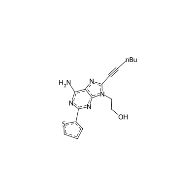 CCCCC#Cc1nc2c(N)nc(-c3cccs3)nc2n1CCO